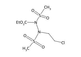 CCOC(=O)N(N(CCCl)S(C)(=O)=O)S(C)(=O)=O